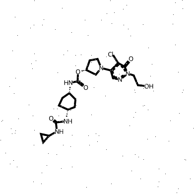 O=C(NC1CC1)N[C@H]1CC[C@@H](NC(=O)O[C@@H]2CCN(c3cnn(CCO)c(=O)c3Cl)C2)CC1